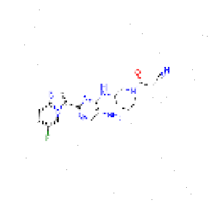 N#CCC(=O)N1CCCC(Nc2nc(-c3cnc4ccc(F)cn34)ncc2N)C1